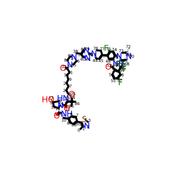 Cc1ncsc1-c1ccc(CNC(=O)[C@@H]2C[C@@H](O)CN2C(=O)[C@@H](NC(=O)CCCCCCC(=O)N2CCN(Cc3cnc(N4CC=C(c5cc(NC(=O)c6ccc(F)cc6C(F)(F)F)c(N6C[C@@H](C)N(C)[C@@H](C)C6)cc5F)CC4)nc3)CC2)C(C)(C)C)cc1